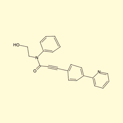 O=C(C#Cc1ccc(-c2ccccn2)cc1)N(CCO)c1ccccc1